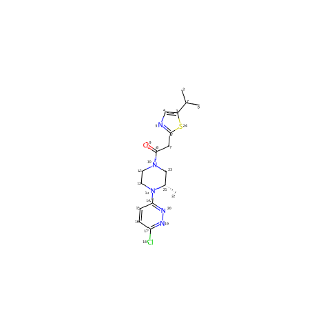 CC(C)c1cnc(CC(=O)N2CCN(c3ccc(Cl)nn3)[C@@H](C)C2)s1